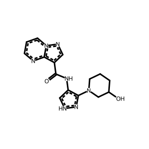 O=C(Nc1c[nH]nc1N1CCCC(O)C1)c1cnn2cccnc12